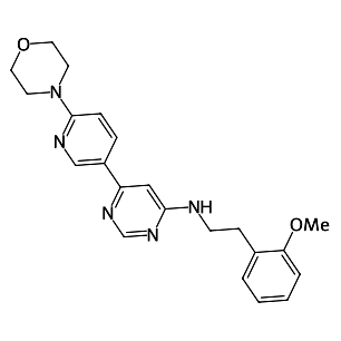 COc1ccccc1CCNc1cc(-c2ccc(N3CCOCC3)nc2)ncn1